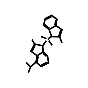 CC1=Cc2ccccc2C1[Si](C)(C)C1C(C)=Cc2c(C(C)C)cccc21